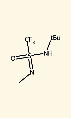 CN=S(=O)(NC(C)(C)C)C(F)(F)F